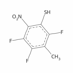 Cc1c(F)c(F)c([N+](=O)[O-])c(S)c1F